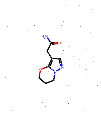 NC(=O)[CH]c1cnn2c1OCCC2